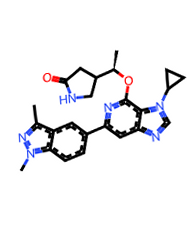 Cc1nn(C)c2ccc(-c3cc4ncn(C5CC5)c4c(O[C@H](C)C4CNC(=O)C4)n3)cc12